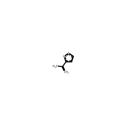 [CH2]C(=C)c1ccsn1